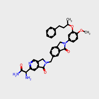 COc1ccc(N2Cc3ccc(CN4Cc5cnc(C(N)C(N)=O)cc5C4=O)cc3C2=O)cc1OC(C)CCc1ccccc1